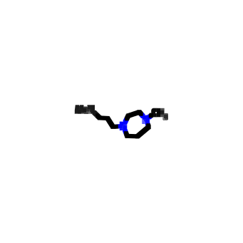 CNCCCN1CCCN(C)CC1